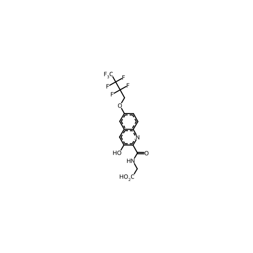 O=C(O)CNC(=O)c1nc2ccc(OCC(F)(F)C(F)(F)C(F)(F)F)cc2cc1O